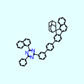 c1ccc(-c2nc(-c3cccc(-c4ccc(-c5ccc6c(c5)C5(c7c-6ccc6ccccc76)C6CC7CC(C6)CC5C7)cc4)c3)nc(-c3cccc4ccccc34)n2)cc1